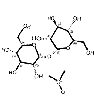 C[S+](C)[O-].OC[C@H]1O[C@H](O[C@H]2O[C@H](CO)[C@@H](O)[C@H](O)[C@H]2O)[C@H](O)[C@@H](O)[C@@H]1O